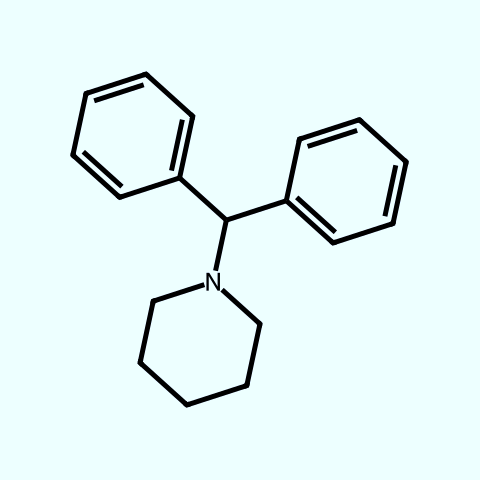 c1ccc(C(c2ccccc2)N2CCCCC2)cc1